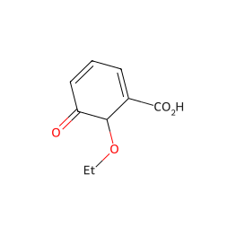 CCOC1C(=O)C=CC=C1C(=O)O